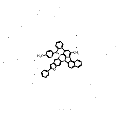 Cc1ccc(N2B3c4cc5cc(-c6ccccc6)oc5cc4-n4c5ccc6ccccc6c5c5c(C)cc(c3c54)-c3ccccc32)cc1